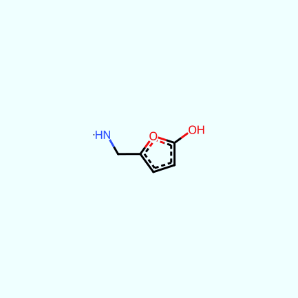 [NH]Cc1ccc(O)o1